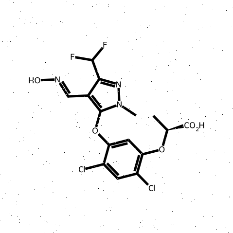 C[C@H](Oc1cc(Oc2c(/C=N/O)c(C(F)F)nn2C)c(Cl)cc1Cl)C(=O)O